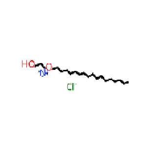 CCCCCCCCCCCCCCCCCCOC(CCO)[N+](C)(C)C.[Cl-]